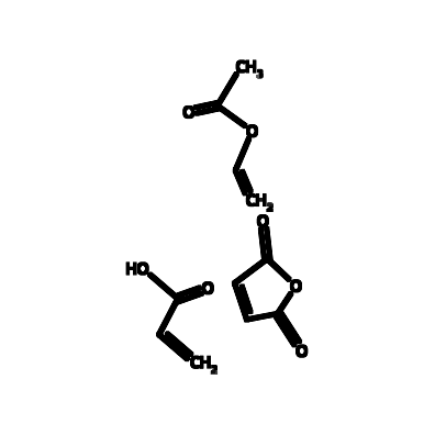 C=CC(=O)O.C=COC(C)=O.O=C1C=CC(=O)O1